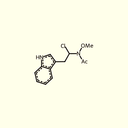 CON(C(C)=O)C(Cl)Cc1c[nH]c2ccccc12